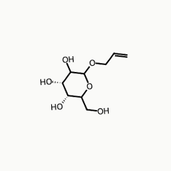 C=CCOC1OC(CO)[C@H](O)[C@H](O)C1O